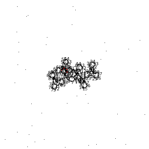 c1ccc(N(c2ccc3nc(N(c4ccccc4)c4ccc5c(c4)c4ccccc4n5-c4ccccc4)nc(N(c4ccccc4)c4ccc5c(c4)c4ccccc4n5-c4ccccc4)c3c2)c2ccc3c4ccccc4n(-c4ccccc4)c3c2)cc1